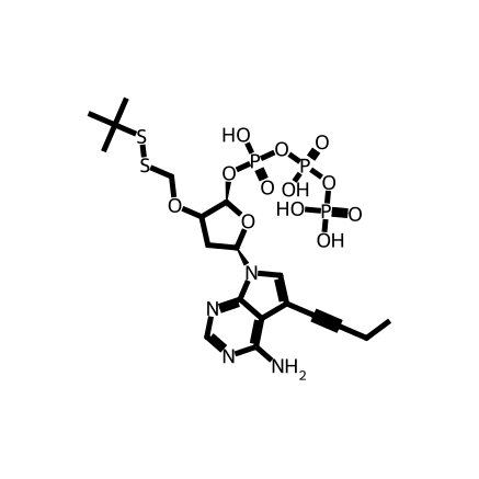 CCC#Cc1cn([C@H]2CC(OCSSC(C)(C)C)[C@@H](OP(=O)(O)OP(=O)(O)OP(=O)(O)O)O2)c2ncnc(N)c12